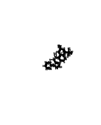 C[C@H](Nc1ccnc2c(C(F)(F)F)cc(Br)cc12)c1ncnn1-c1ncccn1